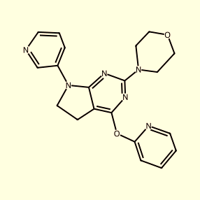 c1ccc(Oc2nc(N3CCOCC3)nc3c2CCN3c2cccnc2)nc1